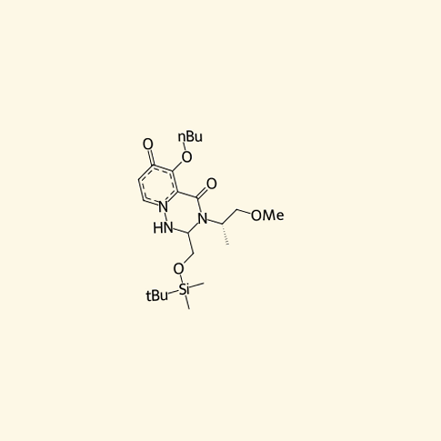 CCCCOc1c2n(ccc1=O)NC(CO[Si](C)(C)C(C)(C)C)N([C@@H](C)COC)C2=O